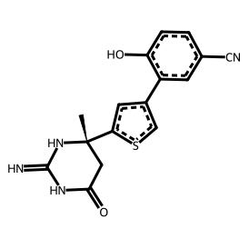 C[C@@]1(c2cc(-c3cc(C#N)ccc3O)cs2)CC(=O)NC(=N)N1